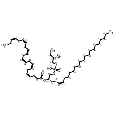 CC/C=C\C/C=C\C/C=C\C/C=C\C/C=C\C/C=C\CCC(=O)O[C@H](CO/C=C\CCCCCCCCCCCCCCCCCC)COP(=O)(O)OC[C@@H](O)CO